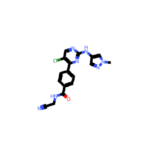 Cn1cc(Nc2ncc(Cl)c(-c3ccc(C(=O)NCC#N)cc3)n2)cn1